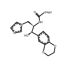 CCCCCCCC(=O)N[C@H](Cn1ccnc1)[C@H](O)c1ccc2c(c1)OCCO2